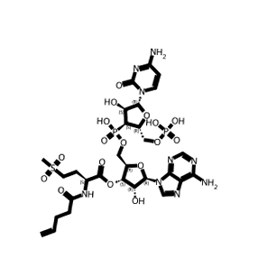 C=CCCC(=O)N[C@@H](CCS(C)(=O)=O)C(=O)O[C@H]1[C@@H](O)[C@H](n2cnc3c(N)ncnc32)O[C@@H]1COP(=O)(O)[C@H]1[C@@H](O)[C@H](n2ccc(N)nc2=O)O[C@@H]1COP(=O)(O)O